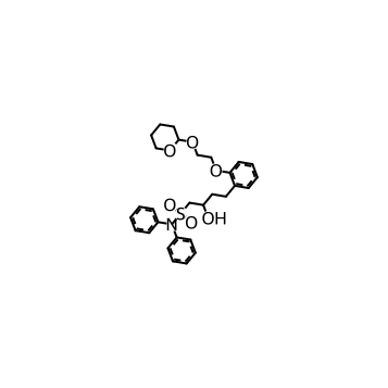 O=S(=O)(CC(O)CCc1ccccc1OCCOC1CCCCO1)N(c1ccccc1)c1ccccc1